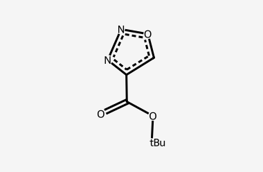 CC(C)(C)OC(=O)c1conn1